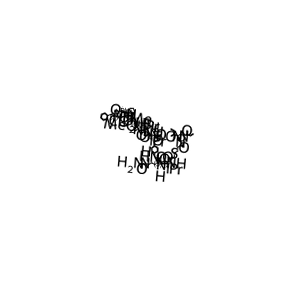 C=CC(=O)N1CN(C(=O)C=C)CN(C(=O)CCSCC(=O)N[C@H](C(=O)N[C@@H](CCCNC(N)=O)C(=O)Nc2ccc(COC(=O)N(C)[C@H](C(=O)N[C@H](C(=O)N(C)[C@@H]([C@@H](C)CC)[C@@H](CC(=O)N3CCC[C@H]3[C@H](OC)[C@@H](C)C(=O)N[C@@H](Cc3ccccc3)C(=O)O)OC)C(C)C)C(C)C)cc2)C(C)C)C1